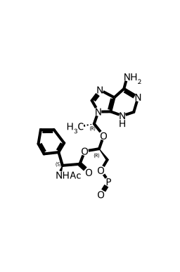 CC(=O)N[C@H](C(=O)O[C@H](COP=O)O[C@H](C)n1cnc2c1NCN=C2N)c1ccccc1